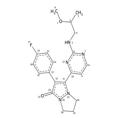 COC(C)CNc1nccc(-c2c(-c3ccc(F)cc3)c(=O)n3n2CCC3)n1